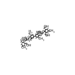 CC1=CC(CO)=C(OCC(O)COc2c(C)cc(-c3cc(C)c(OC(O)COc4c(CO)cc(C)cc4CO)c(C)c3)cc2C)C(CO)C1